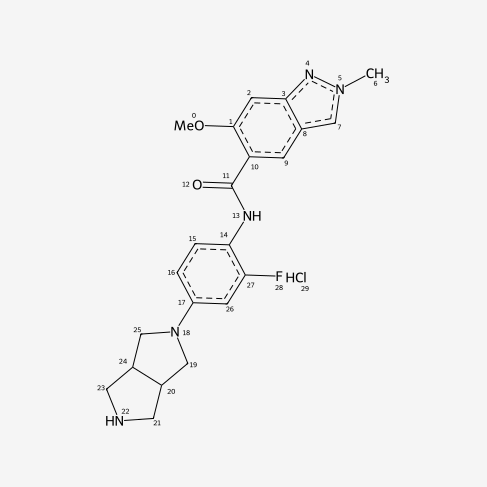 COc1cc2nn(C)cc2cc1C(=O)Nc1ccc(N2CC3CNCC3C2)cc1F.Cl